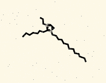 CCCCCCCCCCCCCn1cc[n+](CCC)c1CCCCCCC